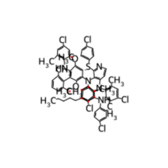 CCCCCc1ccc(N(c2ccc(Cl)cc2C)c2ccnc(Sc3ccc(Cl)cc3)c2N(c2[c]c(OC)c(Nc3ccc(Cl)cc3C)c(-c3c(C)cccc3C)c2OC)c2ccc(Cl)cc2C)c(Nc2ccc(Cl)cc2C)c1